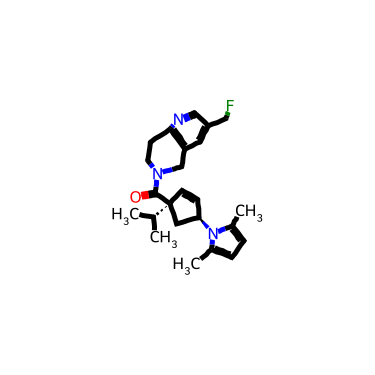 Cc1ccc(C)n1[C@@H]1C=C[C@@](C(=O)N2CCc3ncc(CF)cc3C2)(C(C)C)C1